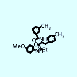 CCN(Nc1ccc(OC)cc1)C(=O)C(Cc1ccc(C)cc1)NC(=O)c1cccc(C)c1